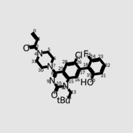 C=CC(=O)N1CCN(c2nc(=O)n(CC(C)(C)C)c3cc(-c4c(O)cccc4F)c(Cl)cc23)CC1